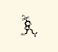 CC(C)S(=O)(=O)c1cnc2c(c1)nc(CC(C)(C)C)n2CCN(C)C